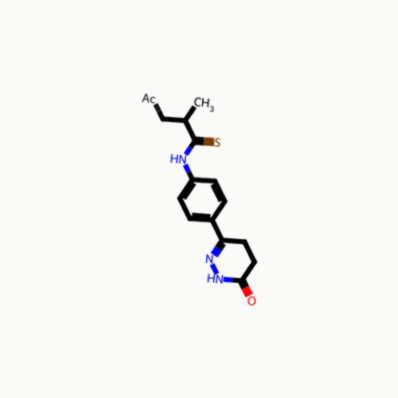 CC(=O)CC(C)C(=S)Nc1ccc(C2=NNC(=O)CC2)cc1